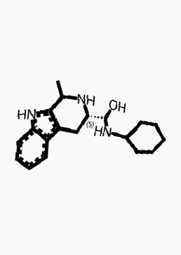 CC1N[C@H](C(O)NC2CCCCC2)Cc2c1[nH]c1ccccc21